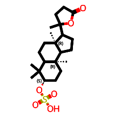 CC1(C2CCC3[C@@]2(C)CCC2C(C)(C)[C@@H](OS(=O)(=O)O)CC[C@@]23C)CCC(=O)O1